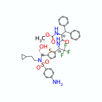 COC(=O)N[C@H](C(=O)N[C@H](c1ccc([C@@H](CO)N(CCC2CC2)S(=O)(=O)c2ccc(N)cc2)s1)C(F)(F)F)C(c1ccccc1)c1ccccc1